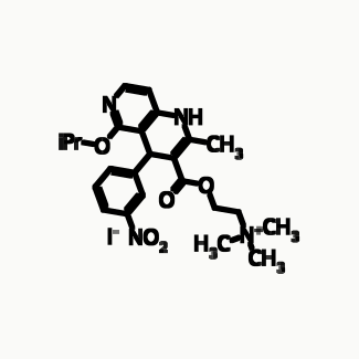 CC1=C(C(=O)OCC[N+](C)(C)C)C(c2cccc([N+](=O)[O-])c2)c2c(ccnc2OC(C)C)N1.[I-]